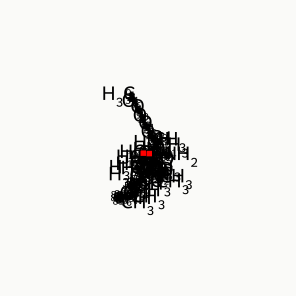 CCC(=O)CCOCCOCCOCCOCCC(=O)N[C@H](C(=O)N[C@@H](CCCNC(N)=O)C(=O)Nc1ccc(COC(=O)N(C)[C@H](C(=O)N[C@H](C(=O)N(C)[C@@H]([C@@H](C)CC)[C@@H](CC(=O)N2CCC[C@H]2C[C@@H](C)C(=O)N[C@H](C)[C@@H](O)c2ccccc2)OC)C(C)C)C(C)C)cc1O[C@@H]1O[C@H](C(=O)O)[C@@H](O)[C@H](O)[C@H]1O)C(C)C